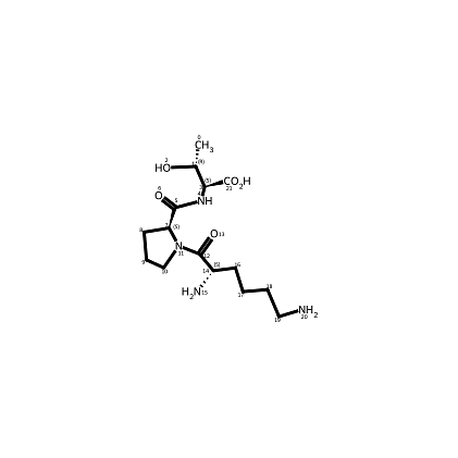 C[C@@H](O)[C@H](NC(=O)[C@@H]1CCCN1C(=O)[C@@H](N)CCCCN)C(=O)O